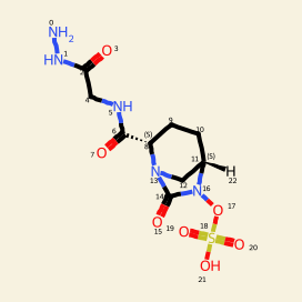 NNC(=O)CNC(=O)[C@@H]1CC[C@H]2CN1C(=O)N2OS(=O)(=O)O